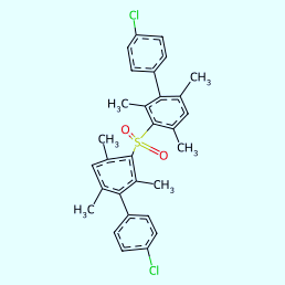 Cc1cc(C)c(S(=O)(=O)c2c(C)cc(C)c(-c3ccc(Cl)cc3)c2C)c(C)c1-c1ccc(Cl)cc1